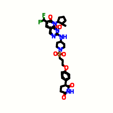 CC1(O)CCCC1n1c(=O)c(C(F)F)cc2cnc(NC3CCN(S(=O)(=O)CCCOc4ccc(C5CCC(=O)NC5=O)cc4)CC3)nc21